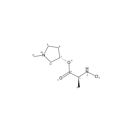 C[C@H](NCl)C(=O)O[C@H]1CCN(C)C1